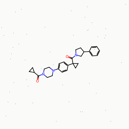 O=C(C1CC1)N1CCN(c2ccc(C3(C(=O)N4CCC(c5ccccc5)C4)CC3)cc2)CC1